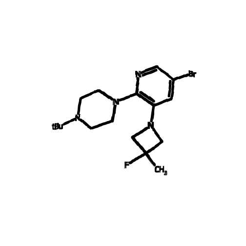 CC1(F)CN(c2cc(Br)cnc2N2CCN(C(C)(C)C)CC2)C1